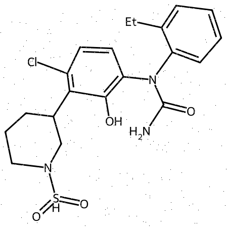 CCc1ccccc1N(C(N)=O)c1ccc(Cl)c(C2CCCN([SH](=O)=O)C2)c1O